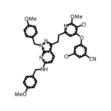 COc1ccc(CNc2ccc3c(CCc4cc(Oc5cc(Cl)cc(C#N)c5)c(Cl)c(OC)n4)nn(Cc4ccc(OC)cc4)c3n2)cc1